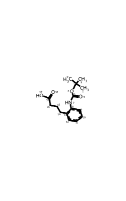 CC(C)(C)OC(=O)Nc1ccccc1CCCC(=O)O